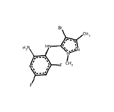 Cc1nn(C)c(Nc2c(N)cc(F)cc2F)c1Br